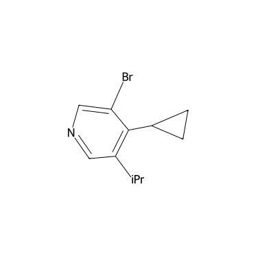 CC(C)c1cncc(Br)c1C1CC1